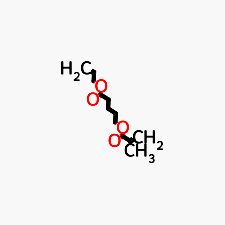 C=CCOC(=O)CCCCOC(=O)C(=C)C